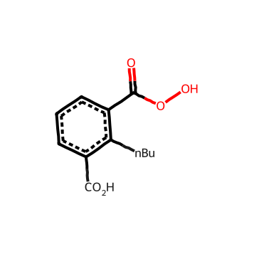 CCCCc1c(C(=O)O)cccc1C(=O)OO